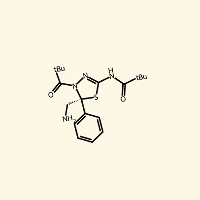 CC(C)(C)C(=O)NC1=NN(C(=O)C(C)(C)C)[C@](CN)(c2ccccc2)S1